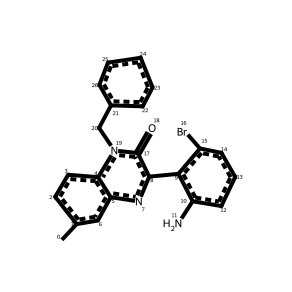 Cc1ccc2c(c1)nc(-c1c(N)cccc1Br)c(=O)n2Cc1ccccc1